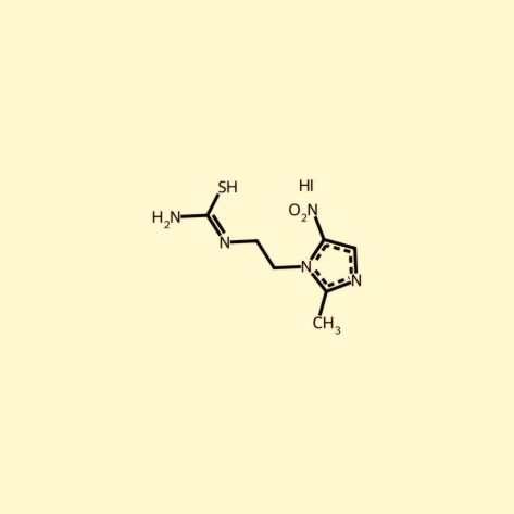 Cc1ncc([N+](=O)[O-])n1CCN=C(N)S.I